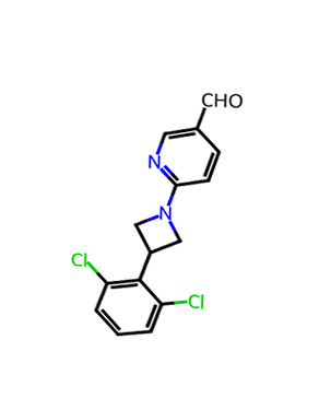 O=Cc1ccc(N2CC(c3c(Cl)cccc3Cl)C2)nc1